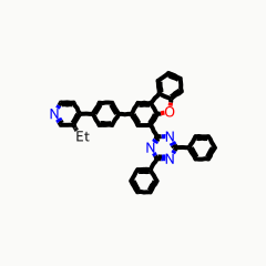 CCc1cnccc1-c1ccc(-c2cc(-c3nc(-c4ccccc4)nc(-c4ccccc4)n3)c3oc4ccccc4c3c2)cc1